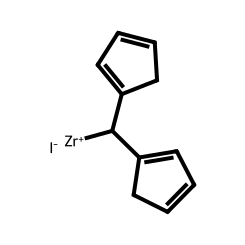 [I-].[Zr+][CH](C1=CC=CC1)C1=CC=CC1